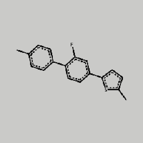 Cc1ccc(-c2ccc(-c3ccc(C)s3)cc2F)cc1